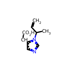 C=CC(C)n1ccnc1.CC(=O)O